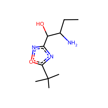 CCC(N)C(O)c1noc(C(C)(C)C)n1